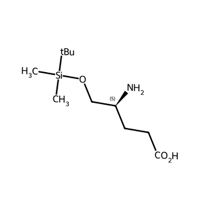 CC(C)(C)[Si](C)(C)OC[C@@H](N)CCC(=O)O